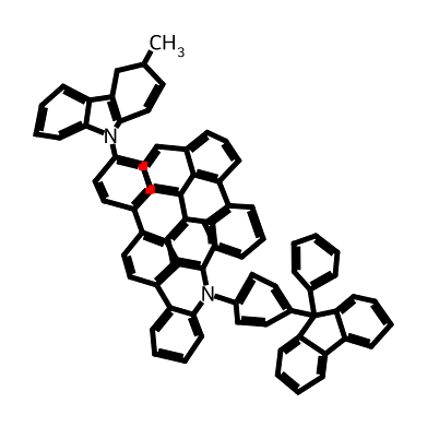 CC1C=Cc2c(c3ccccc3n2-c2ccc(-c3ccc(-c4ccccc4N(c4ccc(-c5cccc6cccc(-c7ccccc7)c56)cc4)c4ccc(C5(c6ccccc6)c6ccccc6-c6ccccc65)cc4)cc3)cc2)C1